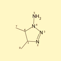 CC1N=NN(N)C1C